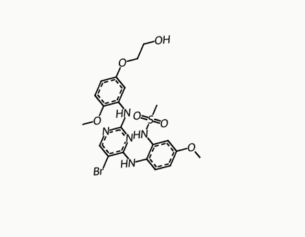 COc1ccc(Nc2nc(Nc3cc(OCCO)ccc3OC)ncc2Br)c(NS(C)(=O)=O)c1